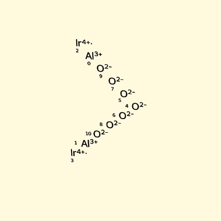 [Al+3].[Al+3].[Ir+4].[Ir+4].[O-2].[O-2].[O-2].[O-2].[O-2].[O-2].[O-2]